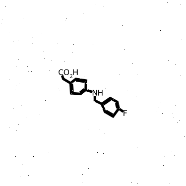 O=C(O)Cc1ccc(NCc2ccc(F)cc2)cc1